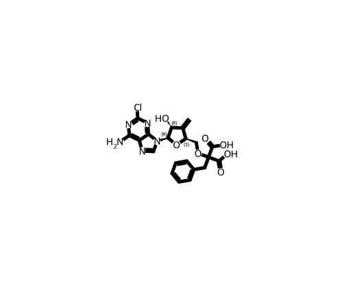 C=C1[C@@H](O)[C@H](n2cnc3c(N)nc(Cl)nc32)O[C@@H]1COC(Cc1ccccc1)(C(=O)O)C(=O)O